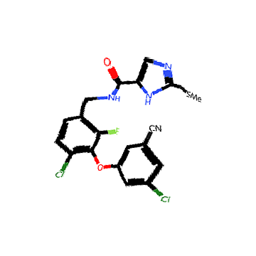 CSc1ncc(C(=O)NCc2ccc(Cl)c(Oc3cc(Cl)cc(C#N)c3)c2F)[nH]1